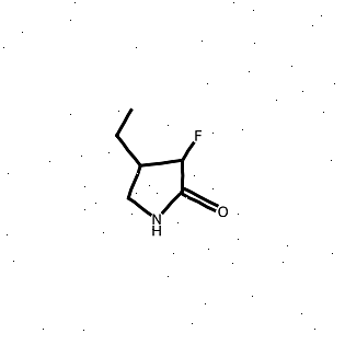 CCC1CNC(=O)C1F